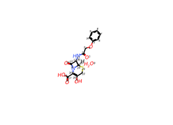 O.O=C(COc1ccccc1)N[C@@H]1C(=O)N2C(C(=O)O)=C(O)CS[C@H]12